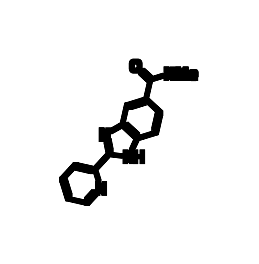 CNC(=O)c1ccc2[nH]c(-c3ccccn3)nc2c1